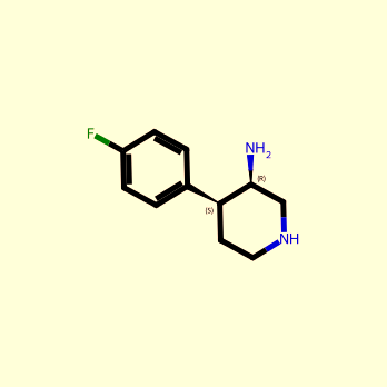 N[C@H]1CNCC[C@H]1c1ccc(F)cc1